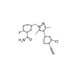 Cc1nn(Cc2ccc(F)c(C(N)=O)c2)c(C)c1-c1ccc(C#N)c(Cl)c1